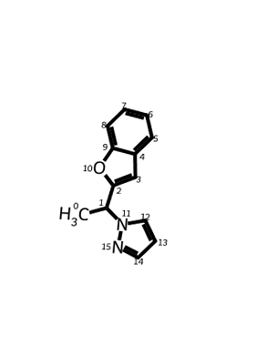 CC(c1cc2ccccc2o1)n1cccn1